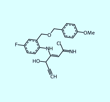 C#CC(O)/C(=C/C(=N)Cl)Nc1ccc(F)cc1COCc1ccc(OC)cc1